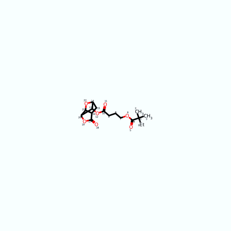 CCC(C)(C)C(=O)OCCCC(=O)OC1C2CC3C(=O)OC1C3O2